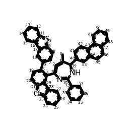 CC1=C=C(c2c(-c3ccc4sc5ccccc5c4c3)ccc3oc4ccccc4c23)N=C(c2ccccc2)NC1c1ccc2c(ccc3ccccc32)c1